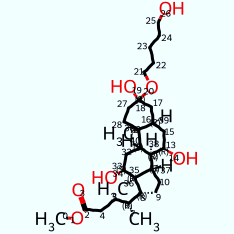 COC(=O)CC[C@@H](C)[C@H]1CC[C@H]2[C@@H]3[C@H](O)C[C@@H]4C[C@@](O)(OCCCCCO)CC[C@]4(C)[C@H]3C[C@H](O)[C@]12C